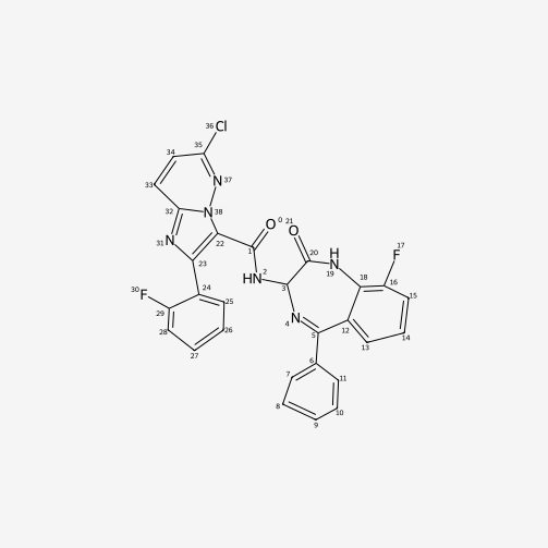 O=C(NC1N=C(c2ccccc2)c2cccc(F)c2NC1=O)c1c(-c2ccccc2F)nc2ccc(Cl)nn12